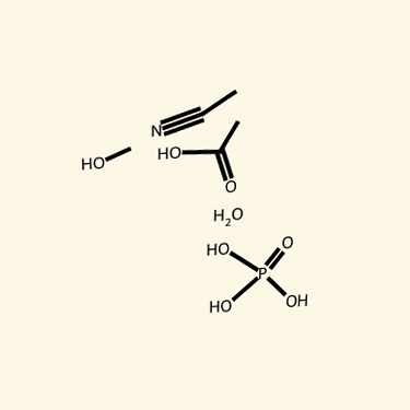 CC#N.CC(=O)O.CO.O.O=P(O)(O)O